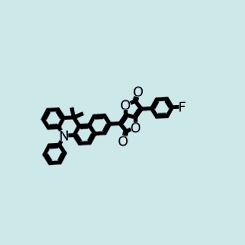 CC1(C)c2ccccc2N(c2ccccc2)c2ccc3cc(C4=C5OC(=O)C(c6ccc(F)cc6)=C5OC4=O)ccc3c21